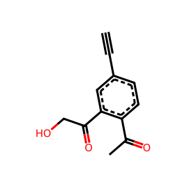 C#Cc1ccc(C(C)=O)c(C(=O)CO)c1